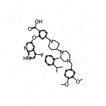 COc1ccc(CN2CCN(C3CCN(c4ccc(C(=O)O)c(Oc5cnc6[nH]cc(F)c6c5)c4)CC3)[C@H](c3ccccc3C(C)C)C2)cc1OC